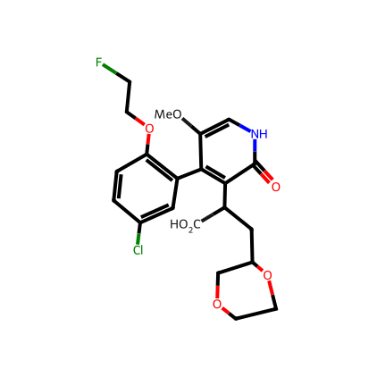 COc1c[nH]c(=O)c(C(CC2COCCO2)C(=O)O)c1-c1cc(Cl)ccc1OCCF